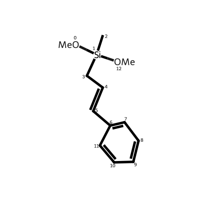 CO[Si](C)(CC=Cc1ccccc1)OC